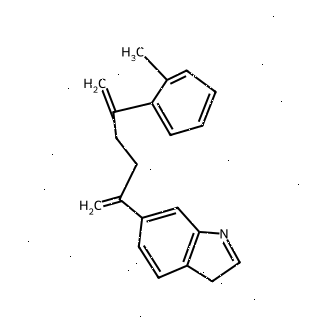 C=C(CCC(=C)c1ccccc1C)c1ccc2c(c1)N=CC2